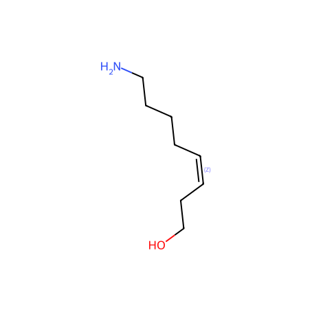 NCCCC/C=C\CCO